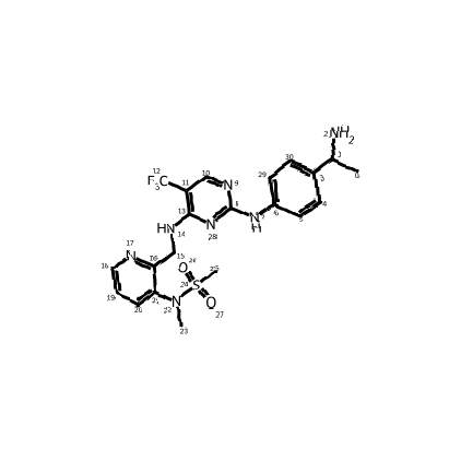 CC(N)c1ccc(Nc2ncc(C(F)(F)F)c(NCc3ncccc3N(C)S(C)(=O)=O)n2)cc1